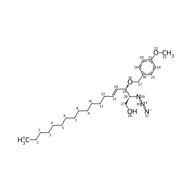 CCCCCCCCCCCCC/C=C/[C@@H](OCc1ccc(OC)cc1)[C@H](CO)N=[N+]=[N-]